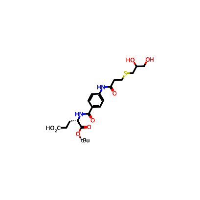 CC(C)(C)OC(=O)[C@H](CCC(=O)O)NC(=O)c1ccc(NC(=O)CCSCC(O)CO)cc1